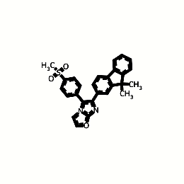 CC1(C)c2ccccc2-c2ccc(-c3nc4occn4c3-c3ccc(S(C)(=O)=O)cc3)cc21